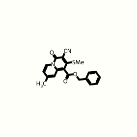 CSc1c(C#N)c(=O)n2ccc(C)cc2c1C(=O)OCc1ccccc1